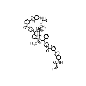 CN1N=C([C@H](c2cccc(N3NC([C@@H](c4ccccc4)N4CCN(C(=O)c5cc(-c6nc7cc(NC(=O)[C@H]8C[C@H]8F)ccc7o6)ccn5)CC4)=NN3C)c2)N2CCN(C(=O)c3cc(-c4nc5cc(NC(=O)C6CC6)ccc5o4)ccn3)CC2)NN1